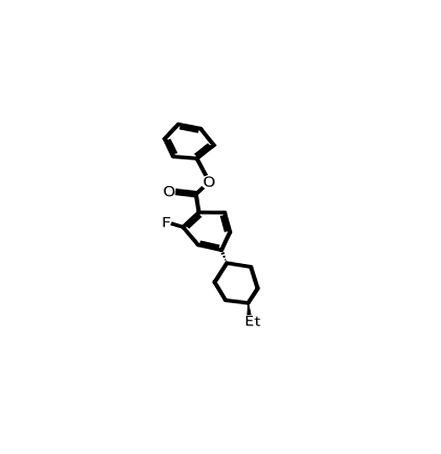 CC[C@H]1CC[C@H](c2ccc(C(=O)Oc3ccccc3)c(F)c2)CC1